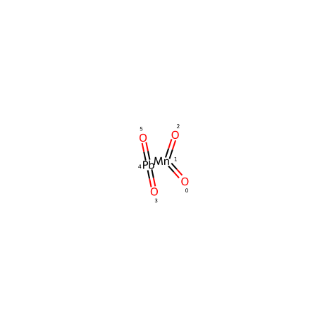 [O]=[Mn]=[O].[O]=[Pb]=[O]